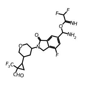 N=C(OC(N)c1cc(F)c2c(c1)C(=O)N(C1COCC(C3CC3(C=O)C(F)(F)F)C1)C2)C(F)F